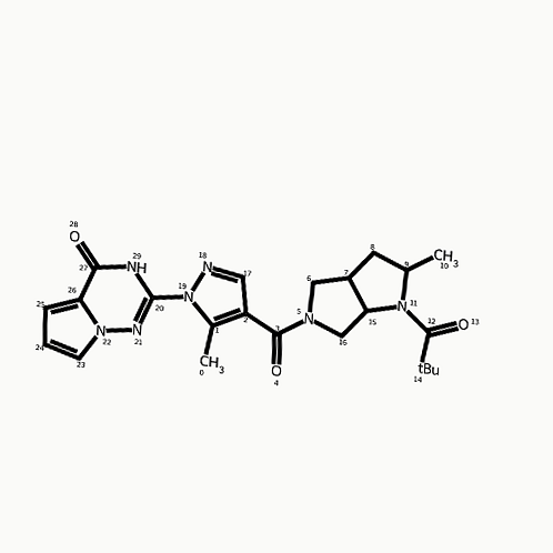 Cc1c(C(=O)N2CC3CC(C)N(C(=O)C(C)(C)C)C3C2)cnn1-c1nn2cccc2c(=O)[nH]1